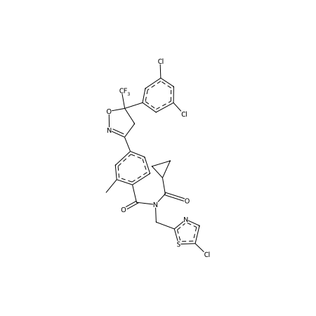 Cc1cc(C2=NOC(c3cc(Cl)cc(Cl)c3)(C(F)(F)F)C2)ccc1C(=O)N(Cc1ncc(Cl)s1)C(=O)C1CC1